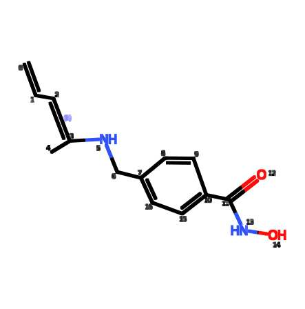 C=C/C=C(\C)NCc1ccc(C(=O)NO)cc1